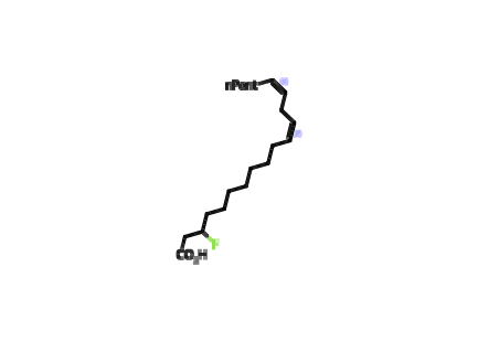 CCCCC/C=C\C/C=C\CCCCCCCC(F)CC(=O)O